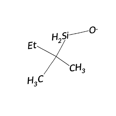 CCC(C)(C)[SiH2][O]